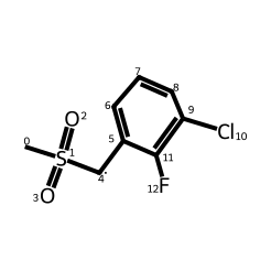 CS(=O)(=O)[CH]c1cccc(Cl)c1F